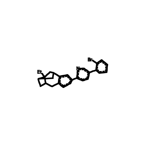 CCC12CC3CC1CC2Cc1ccc(-c2ccc(-c4ccccc4Br)cn2)cc13